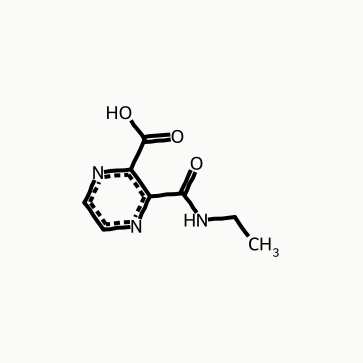 CCNC(=O)c1nccnc1C(=O)O